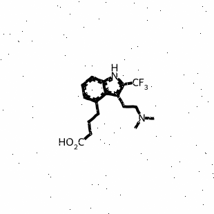 CN(C)CCc1c(C(F)(F)F)[nH]c2cccc(CCCC(=O)O)c12